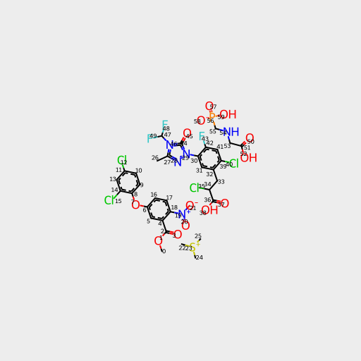 COC(=O)c1cc(Oc2ccc(Cl)cc2Cl)ccc1[N+](=O)[O-].C[S+](C)C.Cc1nn(-c2cc(CC(Cl)C(=O)O)c(Cl)cc2F)c(=O)n1C(F)F.O=C(O)CNCP(=O)([O-])O